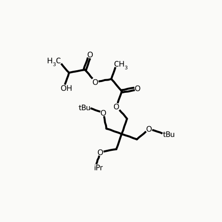 CC(C)OCC(COC(=O)C(C)OC(=O)C(C)O)(COC(C)(C)C)COC(C)(C)C